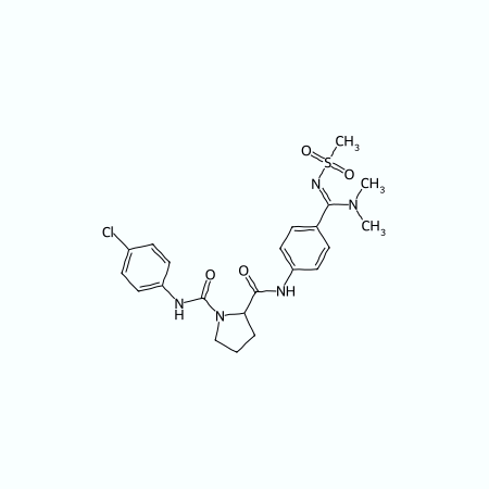 CN(C)C(=NS(C)(=O)=O)c1ccc(NC(=O)C2CCCN2C(=O)Nc2ccc(Cl)cc2)cc1